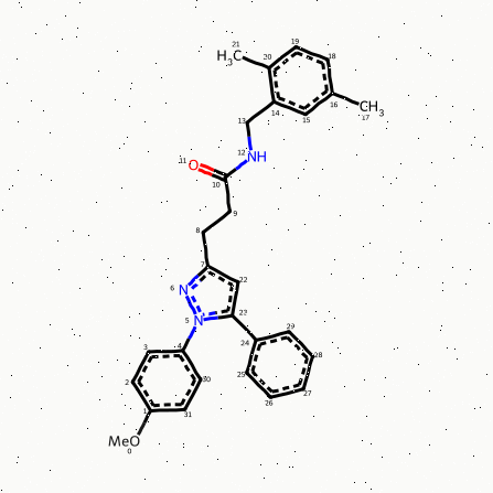 COc1ccc(-n2nc(CCC(=O)NCc3cc(C)ccc3C)cc2-c2ccccc2)cc1